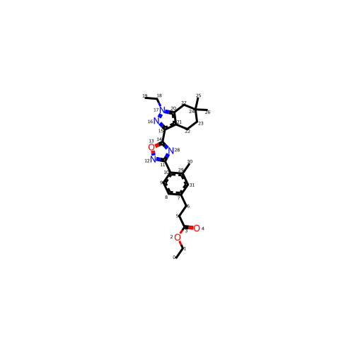 CCOC(=O)CCc1ccc(-c2noc(-c3nn(CC)c4c3CCC(C)(C)C4)n2)c(C)c1